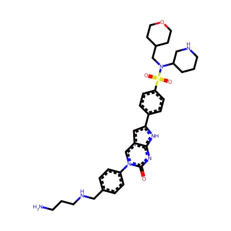 NCCCNCc1ccc(-n2cc3cc(-c4ccc(S(=O)(=O)N(CC5CCOCC5)C5CCCNC5)cc4)[nH]c3nc2=O)cc1